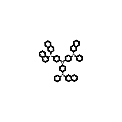 c1ccc(N(c2ccc(N(c3ccc(N(c4ccccc4)c4ccc5ccccc5c4)cc3)c3ccc(N(c4ccc5ccccc5c4)c4cccc5ccccc45)cc3)cc2)c2ccc3ccccc3c2)cc1